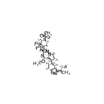 COc1nc(N[C@@H]2CCN(S(C)(=O)=O)CC2(F)F)nn2ccc(-c3ccc4nnn([C@@H](C)CF)c4c3)c12